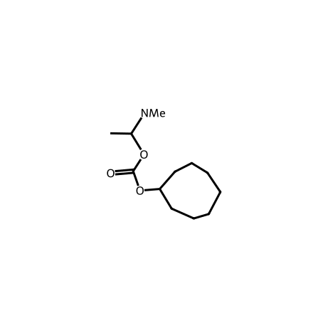 CNC(C)OC(=O)OC1CCCCCCC1